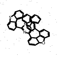 C1=CC2Oc3cccc(-c4ccc5ccccc5c4)c3C2C(c2nc(-c3ccccc3)nc(-c3cccc4sc5ccccc5c34)n2)=C1